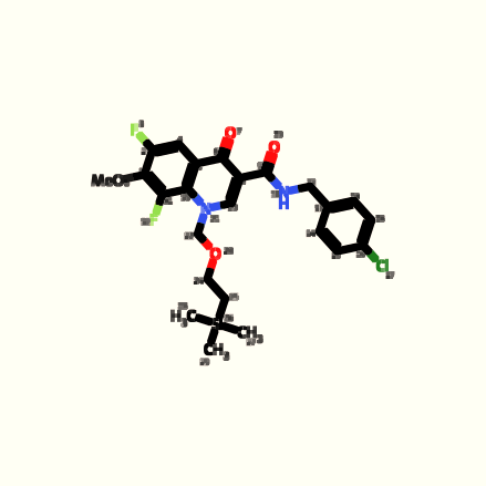 COc1c(F)cc2c(=O)c(C(=O)NCc3ccc(Cl)cc3)cn(COCC[Si](C)(C)C)c2c1F